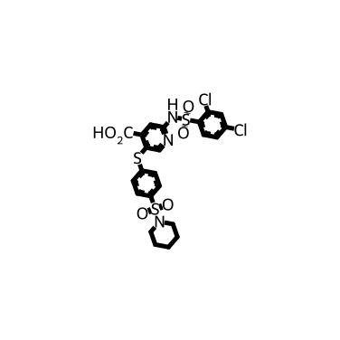 O=C(O)c1cc(NS(=O)(=O)c2ccc(Cl)cc2Cl)ncc1Sc1ccc(S(=O)(=O)N2CCCCC2)cc1